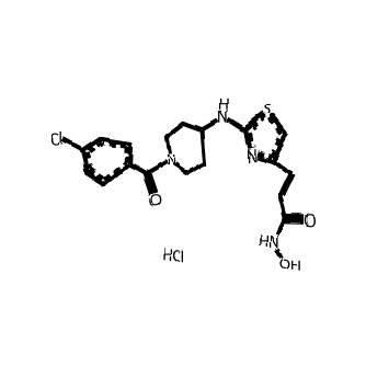 Cl.O=C(C=Cc1csc(NC2CCN(C(=O)c3ccc(Cl)cc3)CC2)n1)NO